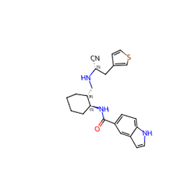 N#C[C@H](Cc1ccsc1)NC[C@H]1CCCC[C@@H]1NC(=O)c1ccc2[nH]ccc2c1